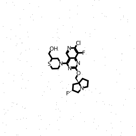 OCC1CN(c2nc(OC[C@@]34CCCN3C[C@H](F)C4)nc3c(F)c(Cl)ncc23)CCS1